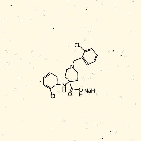 O=C(O)C1(Nc2ccccc2Cl)CCN(Cc2ccccc2Cl)CC1.[NaH]